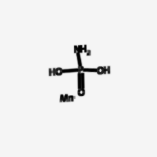 NP(=O)(O)O.[Mn]